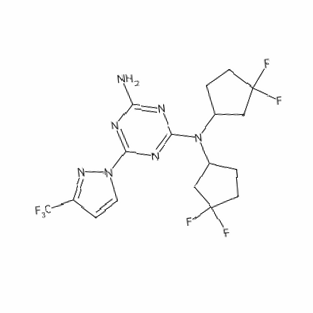 Nc1nc(N(C2CCC(F)(F)C2)C2CCC(F)(F)C2)nc(-n2ccc(C(F)(F)F)n2)n1